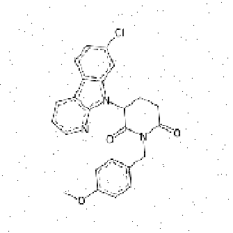 COc1ccc(CN2C(=O)CCC(n3c4cc(Cl)ccc4c4cccnc43)C2=O)cc1